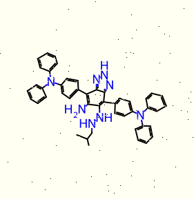 CC(C)CNNc1c(N)c(-c2ccc(N(c3ccccc3)c3ccccc3)cc2)c2n[nH]nc2c1-c1ccc(N(c2ccccc2)c2ccccc2)cc1